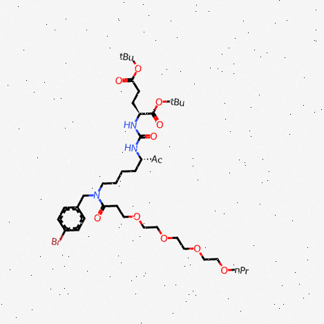 CCCOCCOCCOCCOCCC(=O)N(CCCC[C@H](NC(=O)N[C@@H](CCC(=O)OC(C)(C)C)C(=O)OC(C)(C)C)C(C)=O)Cc1ccc(Br)cc1